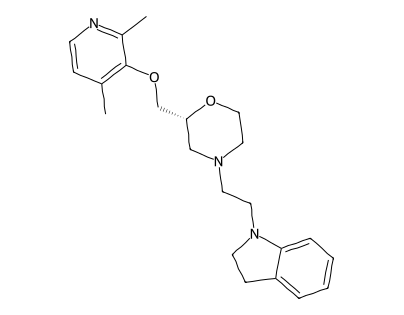 Cc1ccnc(C)c1OC[C@H]1CN(CCN2CCc3ccccc32)CCO1